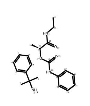 CC(C)(N)c1ccccc1.CCNC(=O)[C@H](C)OC(=O)Nc1ccccc1